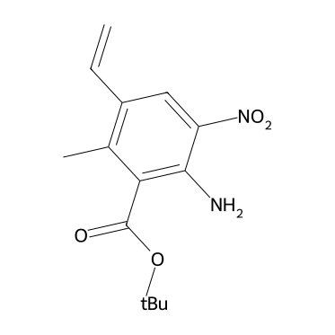 C=Cc1cc([N+](=O)[O-])c(N)c(C(=O)OC(C)(C)C)c1C